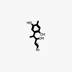 CC(=O)/C=C/C(O)C(C)c1cc(O)c(C)cc1O